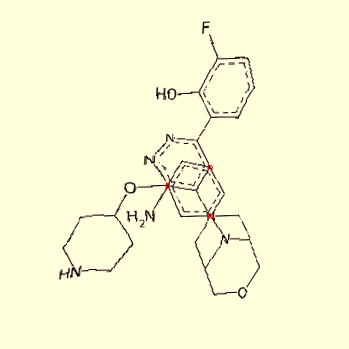 Nc1nnc(-c2cccc(F)c2O)cc1N1CC2COCC(C1)N2c1cccc(OC2CCNCC2)c1